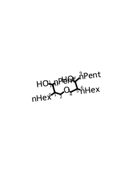 CCCCCCC(COCC(CCCCCC)C(O)CCCCC)C(O)CCCCC